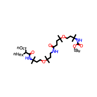 CCCCCCCCC(CCCCCC)C(=O)NC(C)(C)CCOC(C)(C)CCNC(=O)CCC(C)(C)OCCC(C)(C)NC(=O)OC(C)(C)C